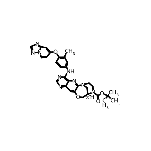 Cc1cc(Nc2ncnc3cc4c(nc23)N2CCN(C(=O)OC(C)(C)C)[C@@H](CO4)C2)ccc1Oc1ccn2ncnc2c1